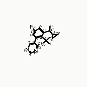 CCC(C)(C)c1c(-c2cncnc2)cc(F)cc1C(C)C1CC1